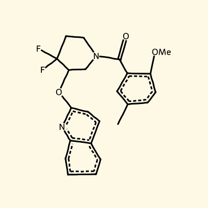 COc1ccc(C)cc1C(=O)N1CCC(F)(F)C(Oc2ccc3ccccc3n2)C1